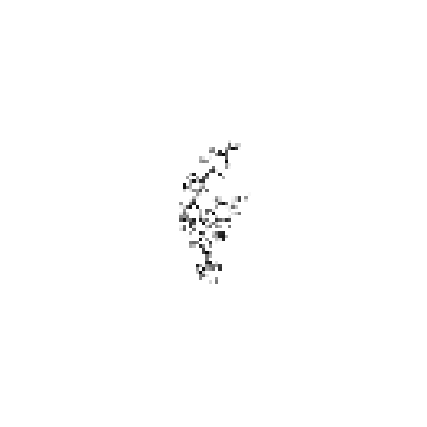 CC(=O)N1CCC(c2nc(-c3cncc([C@@](O)(c4ccc(C(C)C)cc4)C4(C)CN(C(=O)OC(C)(C)C)C4)c3)no2)CC1